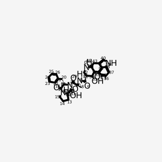 CN1C[C@H](C(=O)N[C@]2(C)O[C@@]3(O)[C@@H]4CCCN4C(=O)[C@H](Cc4ccccc4)N3C2=O)C(O)C2(O)c3cccc4[nH]cc(c34)C[C@@H]12